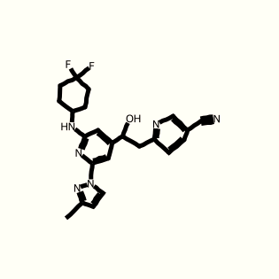 Cc1ccn(-c2cc(C(O)Cc3ccc(C#N)cn3)cc(NC3CCC(F)(F)CC3)n2)n1